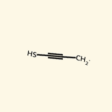 [CH2]C#CS